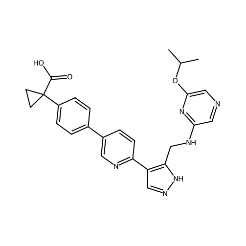 CC(C)Oc1cncc(NCc2[nH]ncc2-c2ccc(-c3ccc(C4(C(=O)O)CC4)cc3)cn2)n1